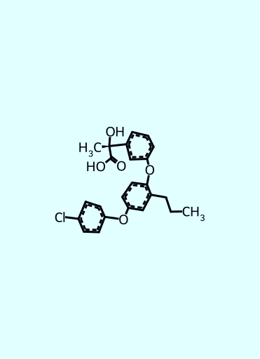 CCCc1cc(Oc2ccc(Cl)cc2)ccc1Oc1cccc([C@@](C)(O)C(=O)O)c1